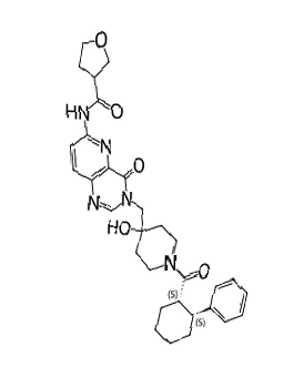 O=C(Nc1ccc2ncn(CC3(O)CCN(C(=O)[C@H]4CCCC[C@@H]4c4ccccc4)CC3)c(=O)c2n1)C1CCOC1